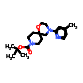 Cc1ccnc(N2CCOC3(CCN(C(=O)OC(C)(C)C)CC3)C2)c1